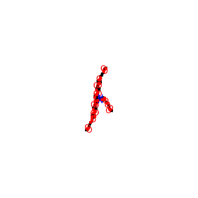 C=CC(=O)OCCCCCCOc1ccc(OC(=O)c2ccc(C(=O)Oc3ccc4c5ccc(OC(=O)c6ccc(C(=O)Oc7ccc(OCCCCCCOC(=O)C=C)cc7)cc6)cc5c5nc6cc(OCCOCCOC(=O)C=C)ccc6nc5c4c3)cc2)cc1